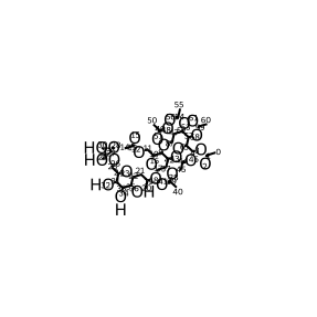 CC(=O)OCC1OC(OC2C(COC(C)=O)OC(OC(C)CC3OC(COP(=O)(O)O)C(O)C(O)C3O)C(OC(C)=O)C2OC(C)=O)C(OC(C)=O)C(OC(C)=O)C1OC(C)=O